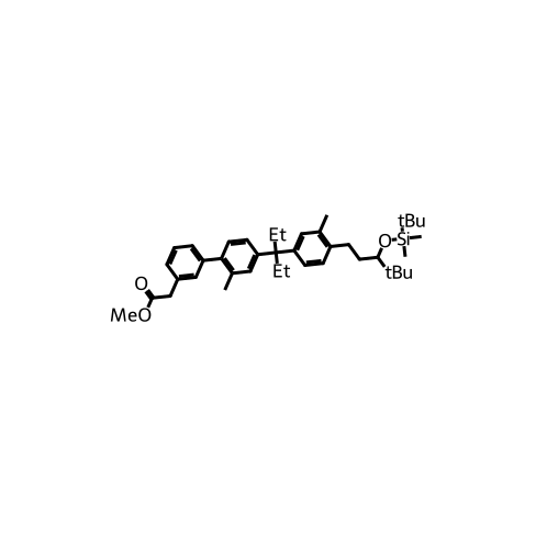 CCC(CC)(c1ccc(CCC(O[Si](C)(C)C(C)(C)C)C(C)(C)C)c(C)c1)c1ccc(-c2cccc(CC(=O)OC)c2)c(C)c1